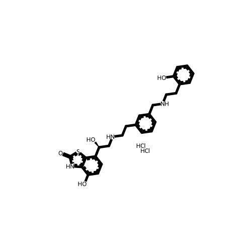 Cl.Cl.O=c1[nH]c2c(O)ccc([C@@H](O)CNCCc3cccc(CNCCc4ccccc4O)c3)c2s1